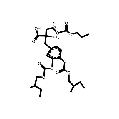 CCCOC(=O)O[C@@H](C)CC(N)(Cc1ccc(OC(=O)OCC(C)CC)c(OC(=O)OCC(C)CC)c1)C(=O)O